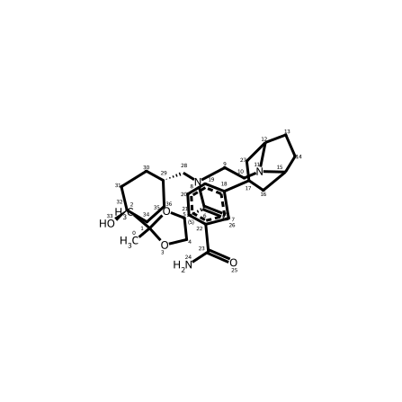 CC1(C)OC[C@@H](C(=O)N(CCN2C3CCC2CC(c2cccc(C(N)=O)c2)C3)C[C@H]2CC[C@H](O)CC2)O1